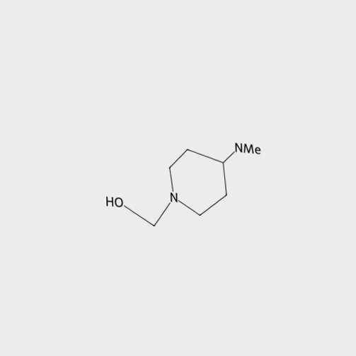 CNC1CCN(CO)CC1